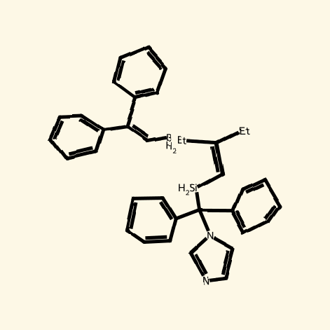 BC=C(c1ccccc1)c1ccccc1.CCC(=C[SiH2]C(c1ccccc1)(c1ccccc1)n1ccnc1)CC